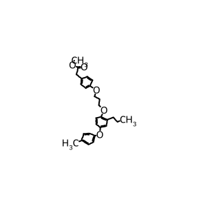 CCCc1cc(Oc2ccc(C)cc2)ccc1OCCCOc1ccc(CC(=O)OC)cc1